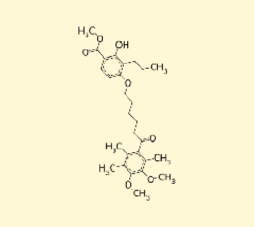 CCCc1c(OCCCCCC(=O)c2c(C)c(C)c(OC)c(OC)c2C)ccc(C(=O)OC)c1O